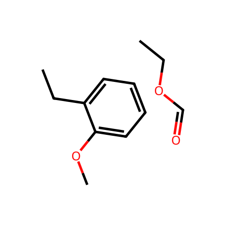 CCOC=O.CCc1ccccc1OC